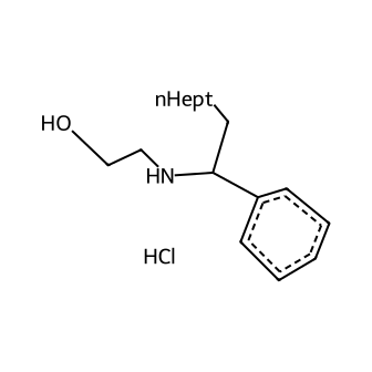 CCCCCCCCC(NCCO)c1ccccc1.Cl